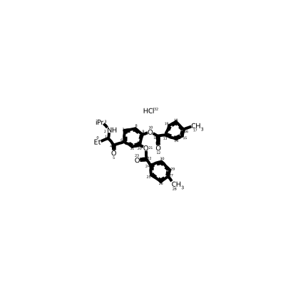 CCC(NC(C)C)C(=O)c1ccc(OC(=O)c2ccc(C)cc2)c(OC(=O)c2ccc(C)cc2)c1.Cl